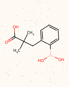 CC(C)(Cc1ccccc1B(O)O)C(=O)O